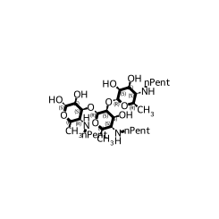 CCCCCN[C@H]1[C@H](O)[C@H](O)[C@@H](O[C@@H]2[C@@H](O[C@@H]3[C@H](O)[C@@H](O)O[C@H](C)[C@H]3NCCCCC)O[C@H](C)[C@@H](NCCCCC)[C@@H]2O)O[C@@H]1C